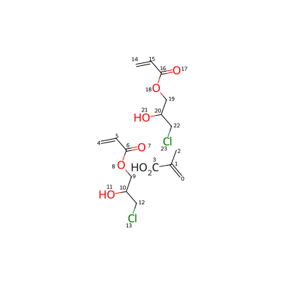 C=C(C)C(=O)O.C=CC(=O)OCC(O)CCl.C=CC(=O)OCC(O)CCl